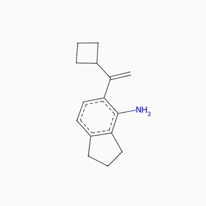 C=C(c1ccc2c(c1N)CCC2)C1CCC1